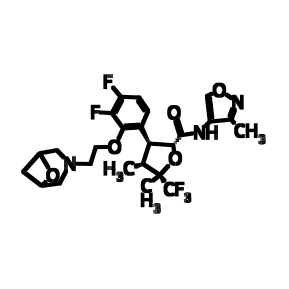 Cc1nocc1NC(=O)[C@@H]1O[C@@](C)(C(F)(F)F)[C@@H](C)[C@H]1c1ccc(F)c(F)c1OCCN1CC2CC(C1)O2